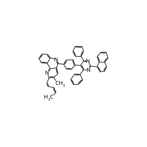 C/C=C\C=C/c1nc2c(cc1C)c(-c1ccc(-c3c(-c4ccccc4)nc(-c4cccc5ccccc45)nc3-c3ccccc3)cc1)nc1ccccc12